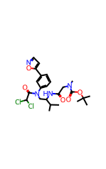 CC(C)C(CN(C(=O)C(Cl)Cl)c1cccc(-c2ccno2)c1)NC(=O)CN(C)C(=O)OC(C)(C)C